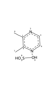 Cc1nccnc1C.O=S(=O)(O)O